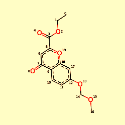 CCOC(=O)c1cc(=O)c2ccc(OCOC)cc2o1